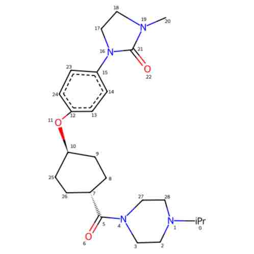 CC(C)N1CCN(C(=O)[C@H]2CC[C@H](Oc3ccc(N4CCN(C)C4=O)cc3)CC2)CC1